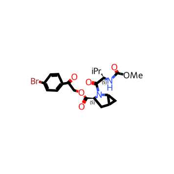 COC(=O)N[C@H](C(=O)N1C2CC2C[C@H]1C(=O)OCC(=O)c1ccc(Br)cc1)C(C)C